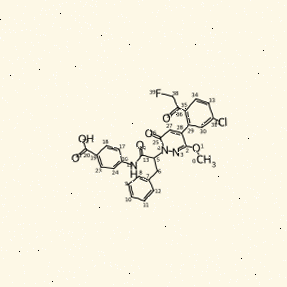 COc1nn(C(Cc2ccccc2)C(=O)Nc2ccc(C(=O)O)cc2)c(=O)cc1-c1cc(Cl)ccc1C(=O)CF